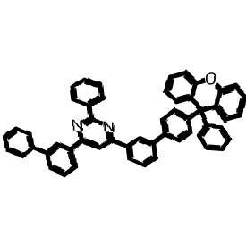 c1ccc(-c2cccc(-c3cc(-c4cccc(-c5ccc(C6(c7ccccc7)c7ccccc7Oc7ccccc76)cc5)c4)nc(-c4ccccc4)n3)c2)cc1